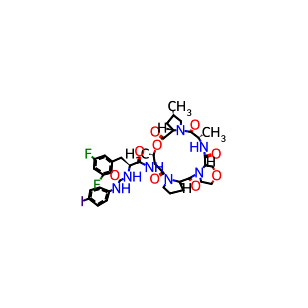 C[C@H]1C[C@H]2C(=O)O[C@@H](C)[C@H](NC(=O)[C@H](Cc3cc(F)cc(F)c3)NC(=O)Nc3ccc(I)cc3)C(=O)N3CCC[C@H]3C(=O)N3CCOC[C@H]3C(=O)N[C@@H](C)C(=O)N2C1